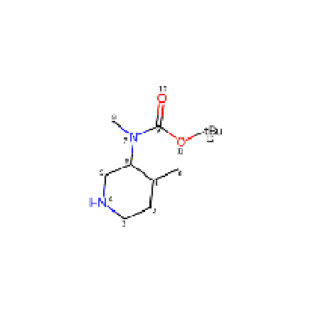 CC1CCNCC1N(C)C(=O)OC(C)(C)C